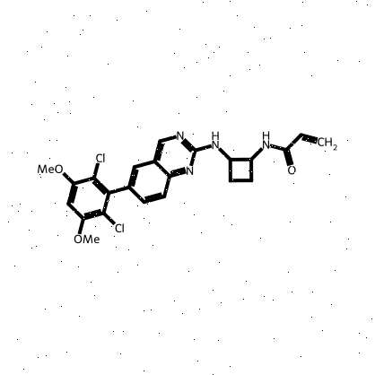 C=CC(=O)NC1CCC1Nc1ncc2cc(-c3c(Cl)c(OC)cc(OC)c3Cl)ccc2n1